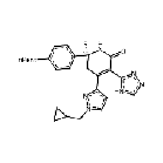 CCCCCc1ccc([C@]2(C)CC(c3ccn(CC4CC4)n3)=C(c3nnc[nH]3)C(=O)N2)cc1